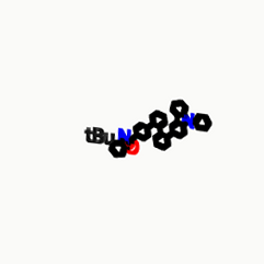 CC(C)(C)c1cccc2oc(-c3ccc(-c4ccccc4-c4ccccc4-c4ccc5c(c4)c4ccccc4n5-c4ccccc4)cc3)nc12